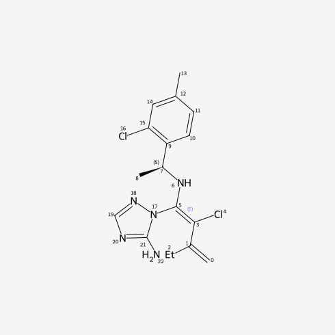 C=C(CC)/C(Cl)=C(/N[C@@H](C)c1ccc(C)cc1Cl)n1ncnc1N